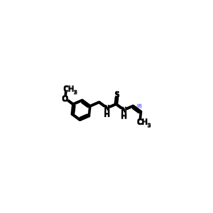 C/C=C\NC(=S)NCc1cccc(OC)c1